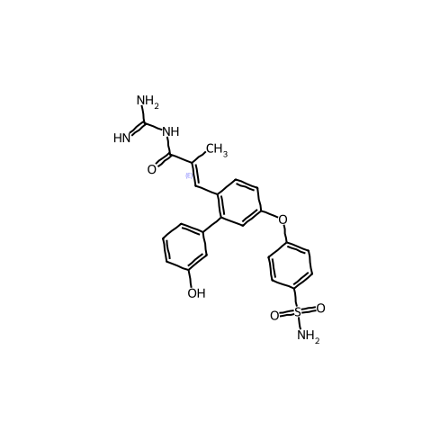 C/C(=C\c1ccc(Oc2ccc(S(N)(=O)=O)cc2)cc1-c1cccc(O)c1)C(=O)NC(=N)N